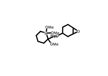 CCCC1(OC)CCCC[Si]1(OC)OC.COC1CCC2OC2C1